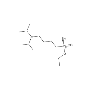 CCO[P@](=O)(S)CCCCN(C(C)C)C(C)C